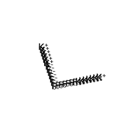 [F-].[F-].[F-].[F-].[F-].[F-].[F-].[F-].[F-].[F-].[F-].[F-].[F-].[K+].[K+].[K+].[K+].[K+].[K+].[K+].[K+].[K+].[K+].[K+].[K+].[K+]